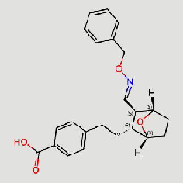 O=C(O)c1ccc(CC[C@@H]2[C@@H](C=NOCc3ccccc3)[C@@H]3CC[C@H]2O3)cc1